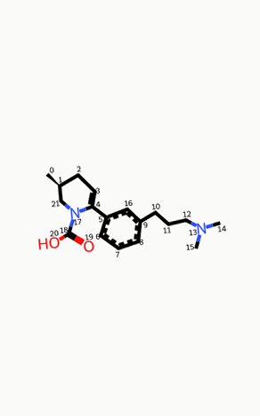 C[C@H]1CC=C(c2cccc(CCCN(C)C)c2)N(C(=O)O)C1